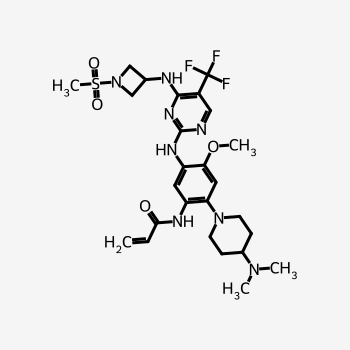 C=CC(=O)Nc1cc(Nc2ncc(C(F)(F)F)c(NC3CN(S(C)(=O)=O)C3)n2)c(OC)cc1N1CCC(N(C)C)CC1